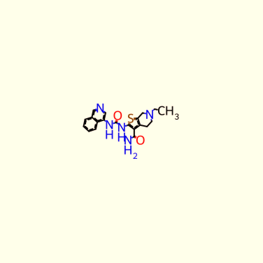 CCN1CCc2c(sc(NC(=O)Nc3cncc4ccccc34)c2C(N)=O)C1